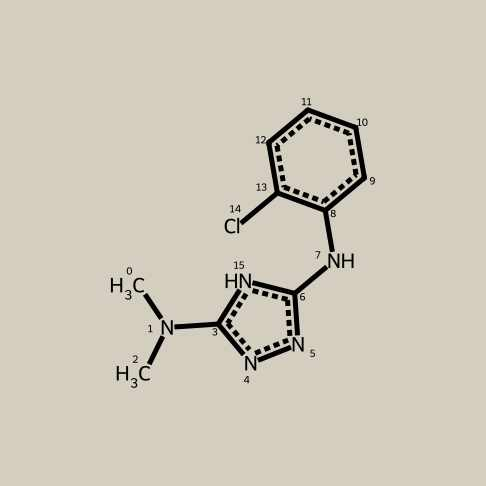 CN(C)c1nnc(Nc2ccccc2Cl)[nH]1